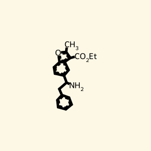 CCOC(=O)c1c(C)oc2ccc(C(N)Cc3ccccc3)cc12